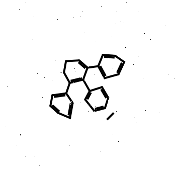 CC.[CH]1CC=C(c2ccccc2)C(c2ccccc2)=C1c1ccccc1